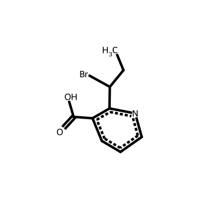 CCC(Br)c1ncccc1C(=O)O